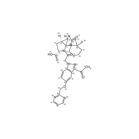 CC(=O)c1nn(CC(=O)N2[C@H](C(=O)O)C[C@H]3C[C@@]32C2(C(N)=O)CCCCC2(F)F)c2ccc(OCc3ncccn3)cc12